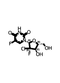 O=c1[nH]c(=O)n([C@@H]2O[C@H](CO)[C@@H](O)[C@@]2(F)Cl)cc1F